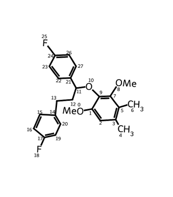 COc1cc(C)c(C)c(OC)c1OC(CCc1ccc(F)cc1)c1ccc(F)cc1